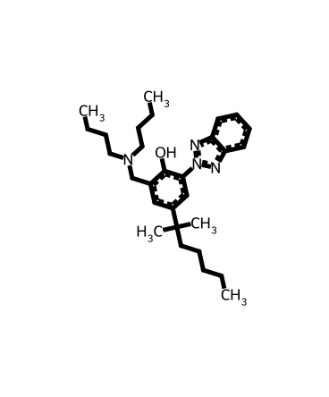 CCCCCC(C)(C)c1cc(CN(CCCC)CCCC)c(O)c(-n2nc3ccccc3n2)c1